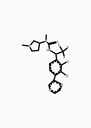 CN1CCC(N(C)C(=O)NC(c2ccc(-c3cnccn3)c(Cl)c2Cl)C(F)(F)F)C1